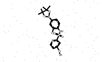 CC(C)Oc1ccnc(S(=O)(=O)Nc2ccc(B3OC(C)(C)C(C)(C)O3)cc2Cl)c1